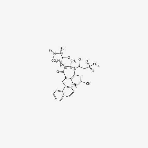 CC[C@@H](C(=O)N[C@@H]1C(=O)N(Cc2c(C)ccc3ccccc23)c2ccc(C#N)cc2N(C(=O)CS(C)(=O)=O)[C@H]1C)N(CC)C(=O)O